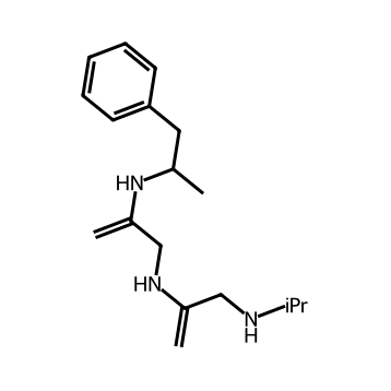 C=C(CNC(C)C)NCC(=C)NC(C)Cc1ccccc1